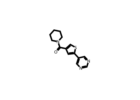 O=C(c1csc(-c2cncnc2)c1)N1CCCCC1